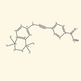 COC(=O)c1ccc(C#CSc2ccc3c(c2)C(C)(C)CCC3(C)C)cc1